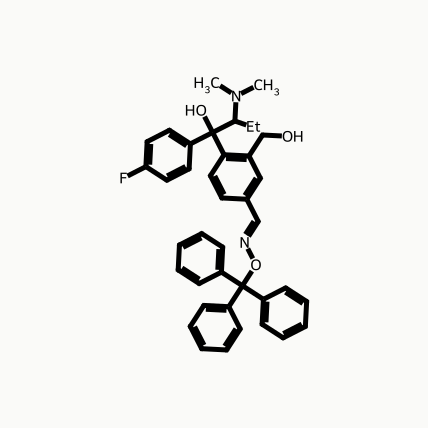 CCC(N(C)C)C(O)(c1ccc(F)cc1)c1ccc(C=NOC(c2ccccc2)(c2ccccc2)c2ccccc2)cc1CO